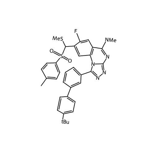 CNc1nc2nnc(-c3cccc(-c4ccc(C(C)(C)C)cc4)c3)n2c2cc(C(SC)S(=O)(=O)c3ccc(C)cc3)c(F)cc12